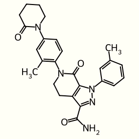 Cc1cccc(-n2nc(C(N)=O)c3c2C(=O)N(c2ccc(N4CCCCC4=O)cc2C)CC3)c1